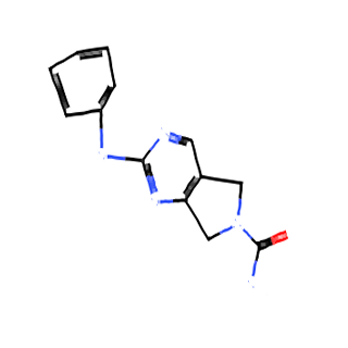 NC(=O)N1Cc2cnc(Nc3ccccc3)nc2C1